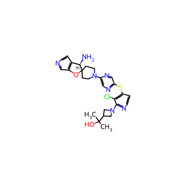 CC(C)(O)C1CN(c2nccc(Sc3cnc(N4CCC5(CC4)Oc4cnccc4[C@H]5N)cn3)c2Cl)C1